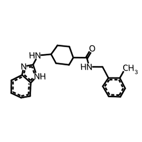 Cc1ccccc1CNC(=O)C1CCC(Nc2nc3ccccc3[nH]2)CC1